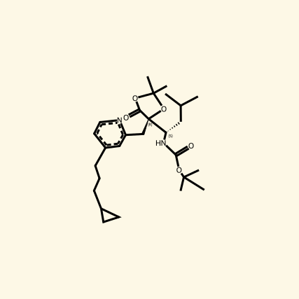 CC(C)C[C@H](NC(=O)OC(C)(C)C)[C@@]1(Cc2cc(CCCC3CC3)ccn2)OC(C)(C)OC1=O